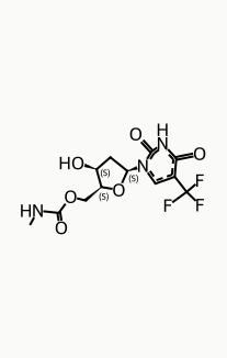 CNC(=O)OC[C@@H]1O[C@H](n2cc(C(F)(F)F)c(=O)[nH]c2=O)C[C@@H]1O